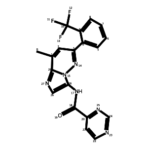 Cc1cc(-c2ccccc2C(F)(F)F)nn2c(NC(=O)c3ccncn3)cnc12